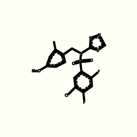 COc1ccc(CN(c2nncs2)S(=O)(=O)c2cc(Cl)c(F)cc2F)c(C)c1